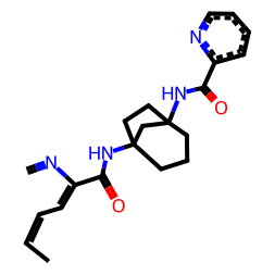 C=N/C(=C\C=C/C)C(=O)NC12CCCC(NC(=O)c3ccccn3)(CC1)C2